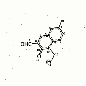 Cc1ccc2c(c1)cc(C=O)c(=O)n2CC(C)C